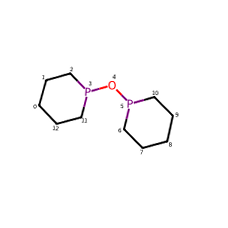 C1CCP(OP2CCCCC2)CC1